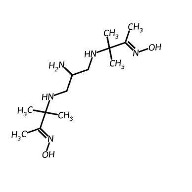 C/C(=N\O)C(C)(C)NCC(N)CNC(C)(C)/C(C)=N/O